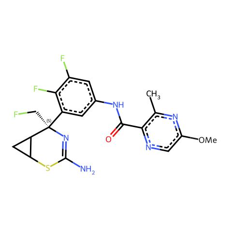 COc1cnc(C(=O)Nc2cc(F)c(F)c([C@@]3(CF)N=C(N)SC4CC43)c2)c(C)n1